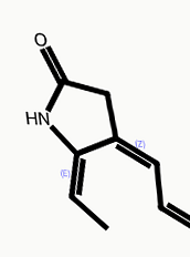 C=C/C=C1/CC(=O)N/C1=C/C